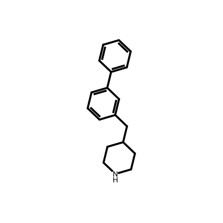 c1ccc(-c2cccc(CC3CCNCC3)c2)cc1